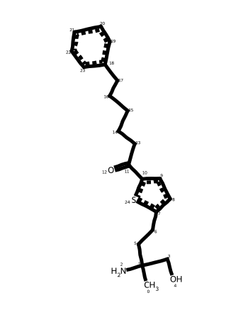 CC(N)(CO)CCc1ccc(C(=O)CCCCCc2ccccc2)s1